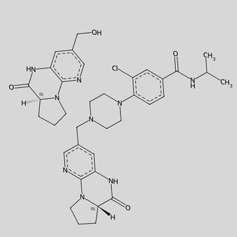 CC(C)NC(=O)c1ccc(N2CCN(Cc3cnc4c(c3)NC(=O)[C@@H]3CCCN43)CC2)c(Cl)c1.O=C1Nc2cc(CO)cnc2N2CCC[C@@H]12